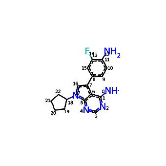 [NH]c1ncnc2c1c(-c1ccc(N)c(F)c1)cn2C1CCCC1